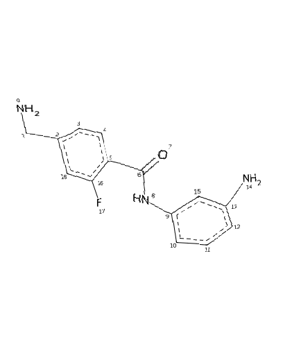 NCc1ccc(C(=O)Nc2cccc(N)c2)c(F)c1